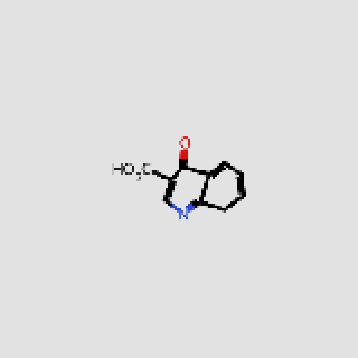 O=C(O)C1=CN=C2CC=CC=C2C1=O